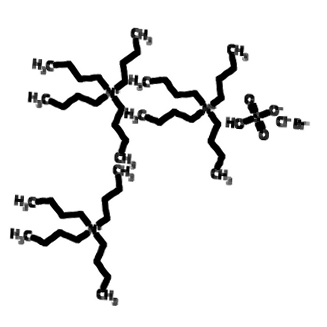 CCCC[N+](CCCC)(CCCC)CCCC.CCCC[N+](CCCC)(CCCC)CCCC.CCCC[N+](CCCC)(CCCC)CCCC.O=S(=O)([O-])O.[Br-].[Cl-]